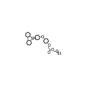 CCOCOC(=O)COc1ccc(Oc2ccc([SH]3c4ccccc4-c4ccccc43)cc2)cc1